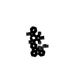 Cc1nc2cnc(C(O[SiH2]C(C)(C)C)(c3ccccc3)c3ccccc3)cn2c1C1=C(c2c[nH]c3ccccc23)C(=O)NC1=O